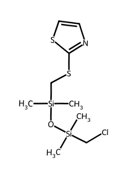 C[Si](C)(CCl)O[Si](C)(C)CSc1nccs1